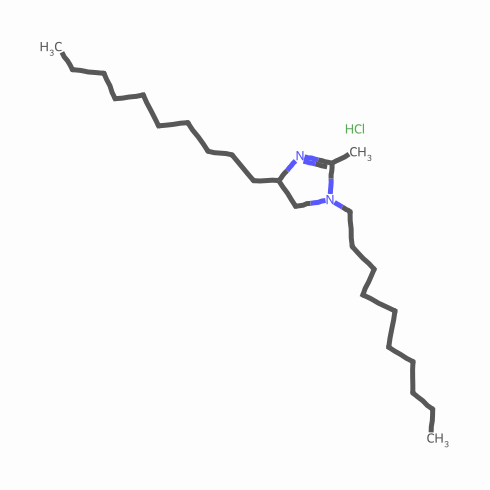 CCCCCCCCCCC1CN(CCCCCCCCCC)C(C)=N1.Cl